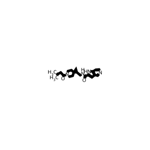 CC(C)CC(=O)N1CCC2(CC1)CC2CNC(=O)c1cc2cnccc2[nH]1